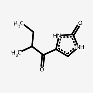 CCC(C)C(=O)c1c[nH]c(=O)[nH]1